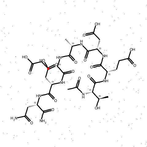 CC(=O)N[C@H](C(=O)N[C@@H](CCC(=O)O)C(=O)N[C@@H](CC(=O)O)C(=O)N[C@@H](C)C(=O)N[C@@H](CCC(=O)O)C(=O)N[C@@H](CC(=O)O)C(=O)N[C@@H](CC(N)=O)C(N)=O)[C@@H](C)O